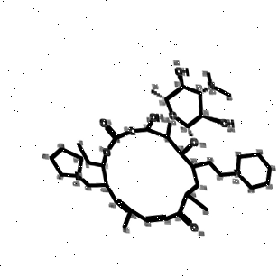 CCC1OC(=O)CC(O)C(C)C(O[C@@H]2O[C@H](C)[C@@H](O)[C@H](N(C)C)[C@H]2O)C(CCN2CCCCC2)CC(C)C(=O)C=CC(C)=CC1CN1CCCC1